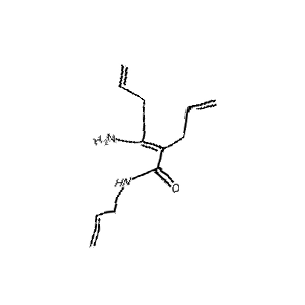 C=CCNC(=O)C(CC=C)=C(N)CC=C